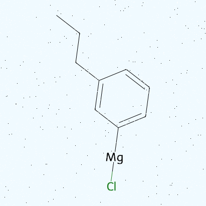 CCCc1ccc[c]([Mg][Cl])c1